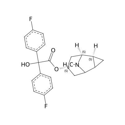 CN1C2C[C@H](OC(=O)C(O)(c3ccc(F)cc3)c3ccc(F)cc3)C[C@H]1[C@H]1CC21